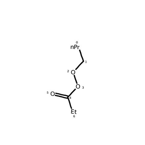 CCCCOOC(=O)CC